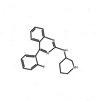 Fc1ccccc1-c1nc(NC2CCCNC2)nc2ccccc12